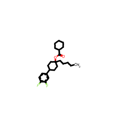 CCCCCC1(OC(=O)C2CCCCC2)CCC(c2ccc(F)c(F)c2)CC1